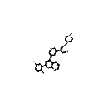 CN1CCC(N/C=C(\C=N)c2cncc(-c3cc(-c4cc(Cl)ccc4F)nc4ncccc34)n2)CC1